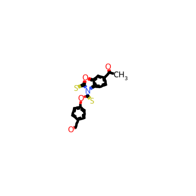 CC(=O)c1ccc2c(c1)oc(=S)n2C(=S)Oc1ccc(C=O)cc1